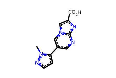 Cn1nccc1-c1cnc2nc(C(=O)O)cn2c1